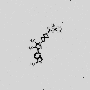 Cc1c(-c2ccc3c(cnn3C)c2)nn(C2CC3(C2)CN(C(=O)OC(C)(C)C)C3)c1C